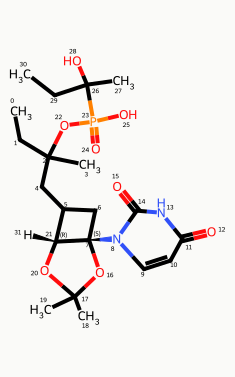 CCC(C)(CC1C[C@]2(n3ccc(=O)[nH]c3=O)OC(C)(C)O[C@H]12)OP(=O)(O)C(C)(O)CC